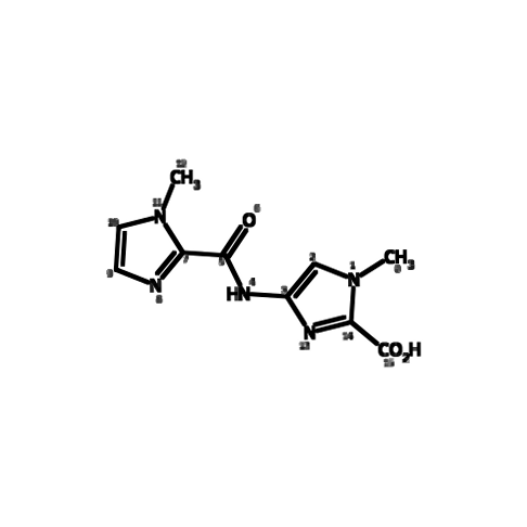 Cn1cc(NC(=O)c2nccn2C)nc1C(=O)O